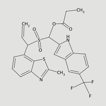 C=CC(c1cccc2nc(C)sc12)S(=O)(=O)C(OC(=O)CC)c1cc2cc(C(F)(F)F)ccc2[nH]1